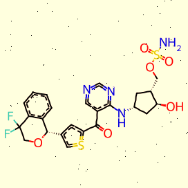 NS(=O)(=O)OC[C@H]1C[C@@H](Nc2ncncc2C(=O)c2cc([C@@H]3OCC(F)(F)c4ccccc43)cs2)C[C@@H]1O